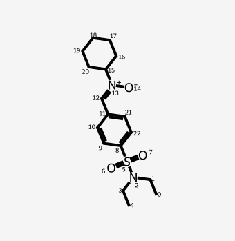 CCN(CC)S(=O)(=O)c1ccc(/C=[N+](\[O-])C2CCCCC2)cc1